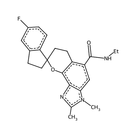 CCNC(=O)c1cc2c(nc(C)n2C)c2c1CCC1(CCc3cc(F)ccc31)O2